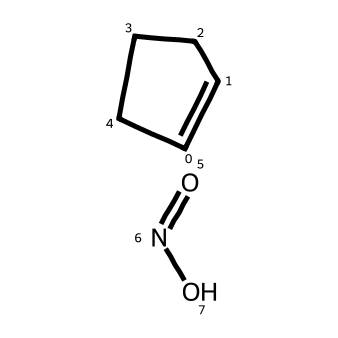 C1=CCCC1.O=NO